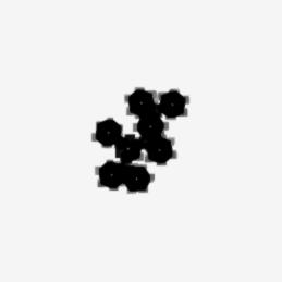 c1ccc(-c2nc(-n3c4ccccc4c4ccccc43)cc(-n3c4ccccc4c4cc5c(cc43)c3ccccc3n5-c3ccccc3)n2)cc1